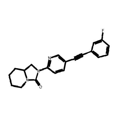 O=C1N(c2ccc(C#Cc3cccc(F)c3)cn2)CC2CCCCN12